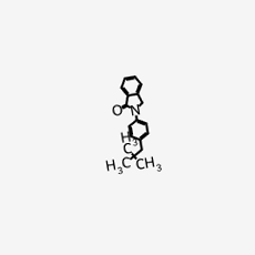 CC(C)(C)Cc1ccc(N2Cc3ccccc3C2=O)cc1